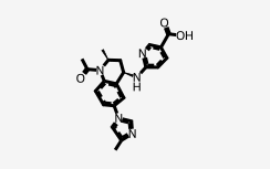 CC(=O)N1c2ccc(-n3cnc(C)c3)cc2[C@H](Nc2ccc(C(=O)O)cn2)C[C@@H]1C